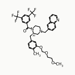 COCCOCOc1cc(C[C@@H]2CN(Cc3ccc4ncccc4c3)CCN2C(=O)c2cc(C(F)(F)F)cc(C(F)(F)F)c2)ccc1C